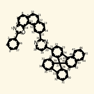 c1ccc(-c2nc3ccc4ccc5ccc(-c6nccc(-c7ccc8c(c7)C7(c9ccccc9-c9ccccc97)c7ccc9ccccc9c7-8)n6)cc5c4c3o2)cc1